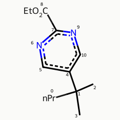 CCCC(C)(C)c1cnc(C(=O)OCC)nc1